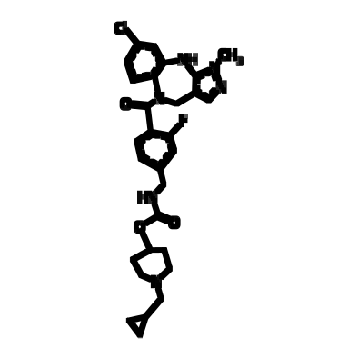 Cn1ncc2c1Nc1cc(Cl)ccc1N(C(=O)c1ccc(CNC(=O)OC3CCN(CC4CC4)CC3)cc1F)C2